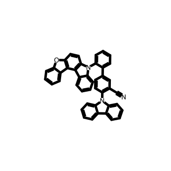 N#Cc1cc(-c2ccccc2-n2c3ccccc3c3c4c(ccc32)oc2ccccc24)ccc1-n1c2ccccc2c2ccccc21